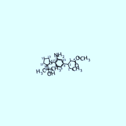 CCC(CC(=O)OC)c1ccc(N2CCC[C@@H]2C(C)(C)O)c(N)c1